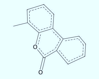 Cc1cccc2c1oc(=O)c1ccccc12